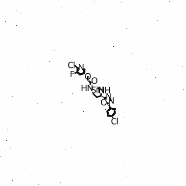 O=C(COc1cnc(Cl)c(F)c1)N[Si@H]1CC[C@H](c2nnc(-c3ccc(Cl)cc3)o2)NC1